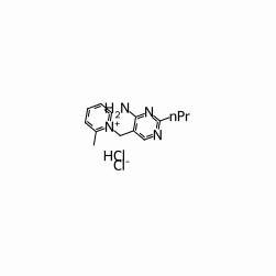 CCCc1ncc(C[n+]2ccccc2C)c(N)n1.Cl.[Cl-]